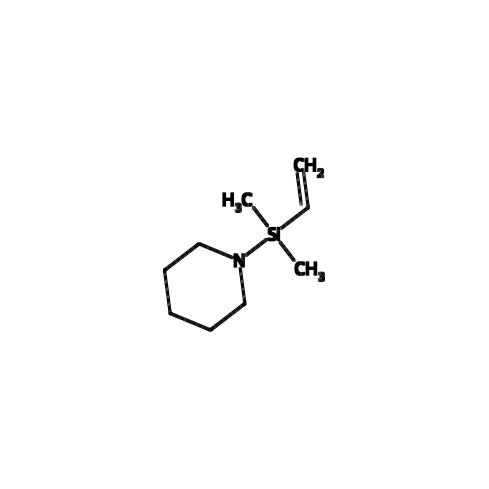 C=C[Si](C)(C)N1CCCCC1